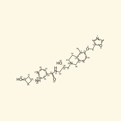 Cc1c(OCc2cnco2)ccc2c1CCN(C[C@@H](O)CNC(=O)c1ccnc(N[C@H]3C[C@H](O)C3)c1)C2